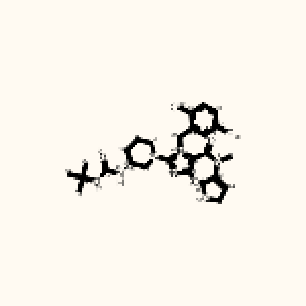 CN(C(=O)c1c(I)nc(N2CCC[C@@H](NC(=O)OC(C)(C)C)C2)n1Cc1cc(F)ccc1Cl)C1=CCOC1=O